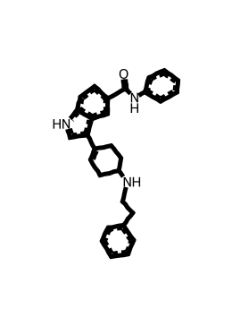 O=C(Nc1ccccc1)c1ccc2[nH]cc(C3=CCC(NCCc4ccccc4)CC3)c2c1